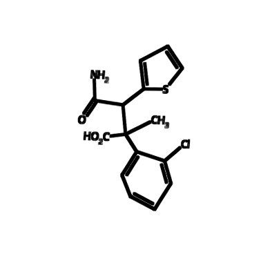 CC(C(=O)O)(c1ccccc1Cl)C(C(N)=O)c1cccs1